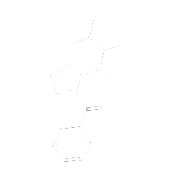 CC(N(C)C)N(C(=O)O)n1cccc1C(=O)c1ccccc1